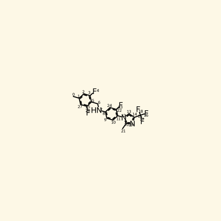 Cc1cc(F)c(CNc2ccc(-n3cc(C(F)(F)F)nc3C)c(F)c2)c(F)c1